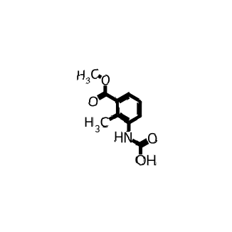 COC(=O)c1cccc(NC(=O)O)c1C